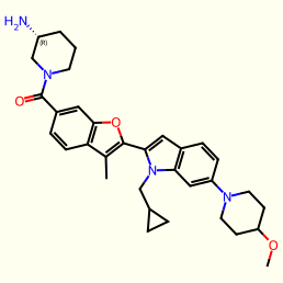 COC1CCN(c2ccc3cc(-c4oc5cc(C(=O)N6CCC[C@@H](N)C6)ccc5c4C)n(CC4CC4)c3c2)CC1